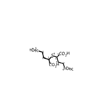 CCCCCCCCCCCCC(SC(CCCCCCCCCCCC)C(=O)O)C(=O)O